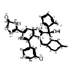 CC1CCC(Cn2c(C(C)(O)c3ccccc3F)nc3cc(-c4noc(=O)[nH]4)nc(-c4cncc(Cl)c4)c32)CC1